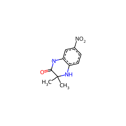 CC1(C)Nc2ccc([N+](=O)[O-])cc2[N]C1=O